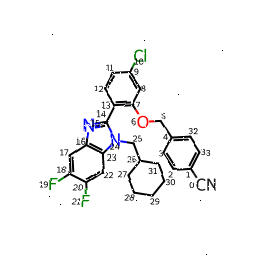 N#Cc1ccc(COc2cc(Cl)ccc2-c2nc3cc(F)c(F)cc3n2CC2CCCCC2)cc1